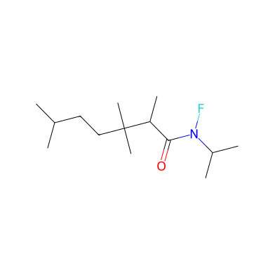 CC(C)CCC(C)(C)C(C)C(=O)N(F)C(C)C